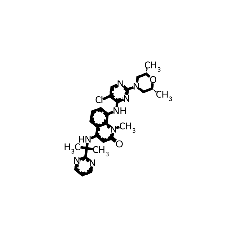 C[C@@H]1CN(c2ncc(Cl)c(Nc3cccc4c(NC(C)(C)c5ncccn5)cc(=O)n(C)c34)n2)C[C@H](C)O1